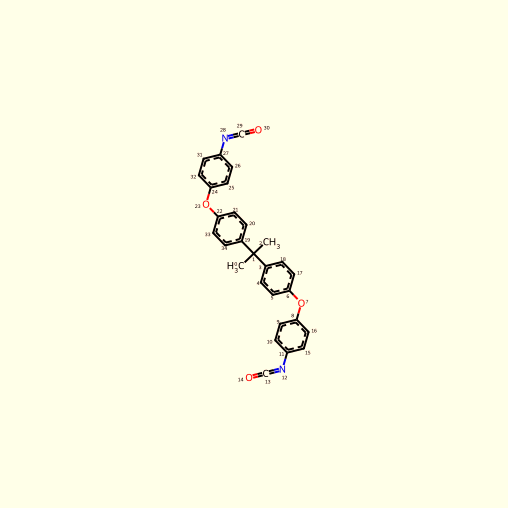 CC(C)(c1ccc(Oc2ccc(N=C=O)cc2)cc1)c1ccc(Oc2ccc(N=C=O)cc2)cc1